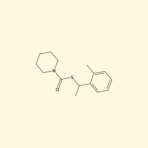 Cc1ccccc1C(C)SC(=O)N1CCCCC1